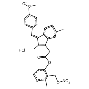 CC1=C(CC(=O)Oc2ccnc(C)c2CO[N+](=O)[O-])c2cc(F)ccc2/C1=C\c1ccc([S+](C)[O-])cc1.Cl